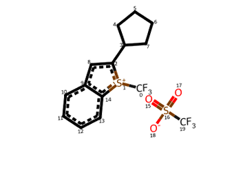 FC(F)(F)[s+]1c(C2CCCC2)cc2ccccc21.O=S(=O)([O-])C(F)(F)F